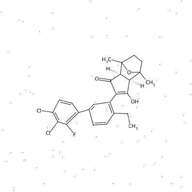 CCc1ccc(-c2ccc(Cl)c(Cl)c2F)cc1C1=C(O)[C@H]2[C@@H](C1=O)C1(C)CCC2(C)O1